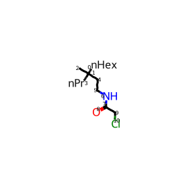 CCCCCCC(C)(CCC)CCNC(=O)CCl